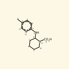 Cc1ccc(NC2CCCCN2C(=O)O)nc1